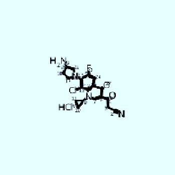 Cl.N#CCC(=O)c1cn(C2CC2)c2c(Cl)c(N3CCC(N)C3)c(F)cc2c1=O